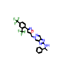 CC(Nc1nc2cnn(Cc3cc(-c4ccc(C(F)(F)F)cc4C(F)(F)F)no3)cc-2n1)c1ccccc1